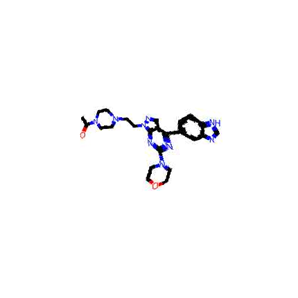 CC(=O)N1CCN(CCn2ncc3c(-c4ccc5[nH]cnc5c4)nc(N4CCOCC4)nc32)CC1